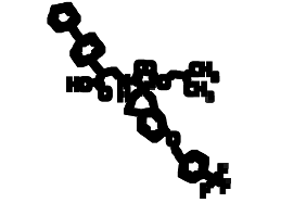 CC(C)COC(=O)[N+]1(C(=O)NCC(C(=O)O)c2ccc(-c3ccccc3)cc2)CCc2ccc(OCc3ccc(C(F)(F)F)cc3)cc2C1